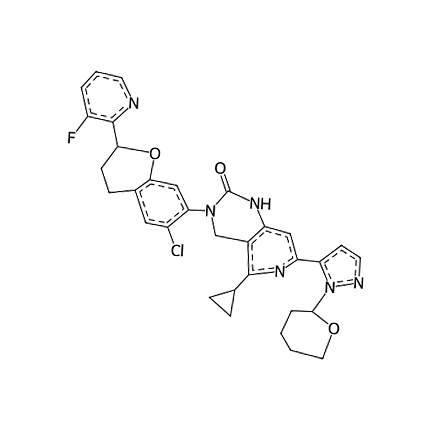 O=C1Nc2cc(-c3ccnn3C3CCCCO3)nc(C3CC3)c2CN1c1cc2c(cc1Cl)CCC(c1ncccc1F)O2